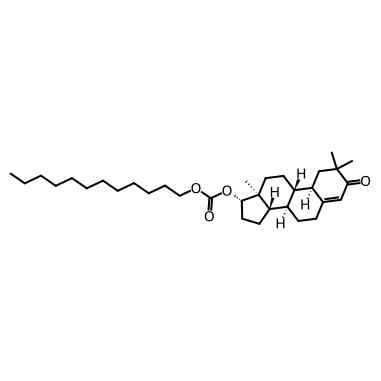 CCCCCCCCCCCCOC(=O)O[C@H]1CC[C@H]2[C@@H]3CCC4=CC(=O)C(C)(C)C[C@@H]4[C@H]3CC[C@]12C